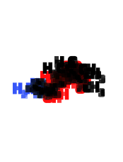 CC(=O)OC[C@H](OC(C)=O)C1O[C@@H](OP(=O)(O)OP(=O)(O)OC[C@H]2O[C@@H](n3cnc4c(N)ncnc43)C(O)C2O)C(OC(C)=O)C(OC(C)=O)[C@@H]1OC(C)=O